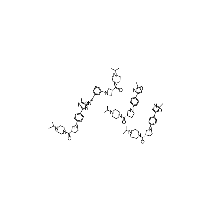 CC(C)N1CCN(C(=O)[C@H]2CCN(c3cccc(C#N)c3)C2)CC1.Cc1nc(-c2ccc(N3CC[C@H](C(=O)N4CCN(C(C)C)CC4)C3)cc2)co1.Cc1nc(-c2ccc(N3CC[C@H](C(=O)N4CCN(C(C)C)CC4)C3)cc2)no1.Cc1ncc(-c2ccc(N3CC[C@H](C(=O)N4CCN(C(C)C)CC4)C3)cc2)o1